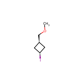 COC[C@H]1C[C@@H](I)C1